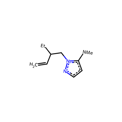 C=CC(CC)Cn1nccc1NC